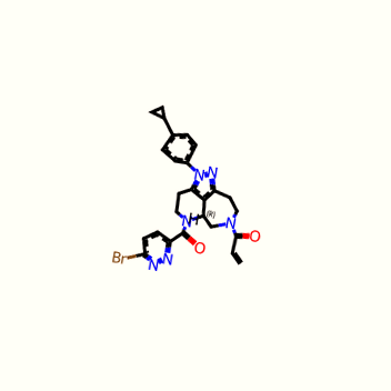 C=CC(=O)N1CCc2nn(-c3ccc(C4CC4)cc3)c3c2[C@H](C1)N(C(=O)c1ccc(Br)nn1)CC3